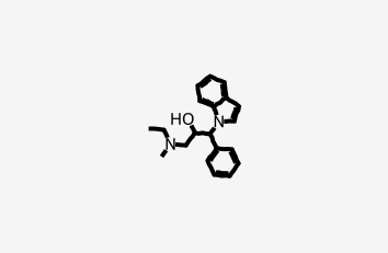 CCN(C)CC(O)C(c1ccccc1)n1ccc2ccccc21